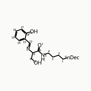 CCCCCCCCCCCCCCNC(=O)C(CO)N=Cc1ccccc1O